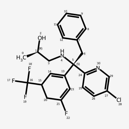 C[C@@H](O)CN[C@@](Cc1ccccc1)(C1=CC(C(F)(F)F)CC(F)=C1)c1ccc(Cl)cn1